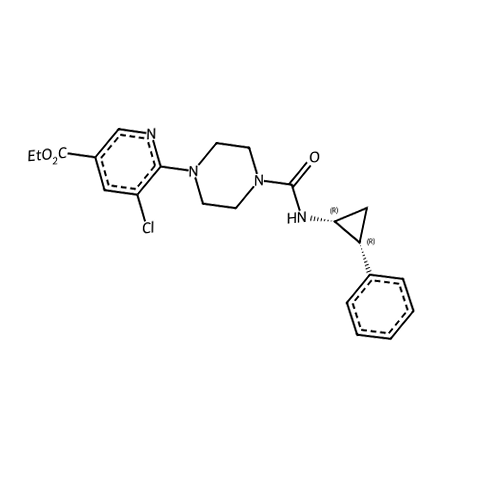 CCOC(=O)c1cnc(N2CCN(C(=O)N[C@@H]3C[C@@H]3c3ccccc3)CC2)c(Cl)c1